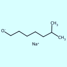 CC(C)CCCCC[O-].[Na+]